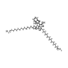 CCCCCCCCCCCCCCCCCCC(CCCCCCCCCCCCCCCCCC)(C(=O)O)C(C(=O)S)c1nc2ccccc2[nH]1